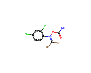 NC(=O)O[N+](=C(Br)Br)c1ccc(Cl)cc1Cl